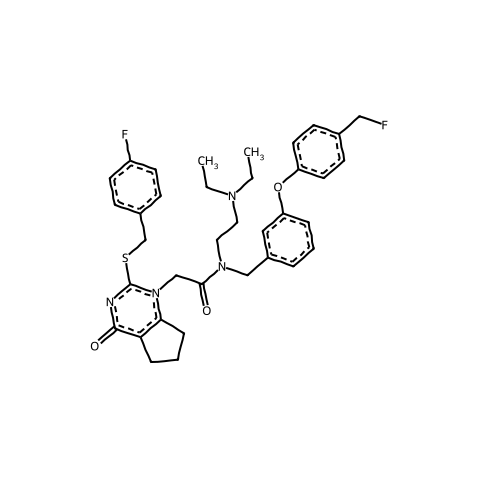 CCN(CC)CCN(Cc1cccc(Oc2ccc(CF)cc2)c1)C(=O)Cn1c(SCc2ccc(F)cc2)nc(=O)c2c1CCC2